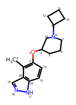 Cc1c(OC2CCCN(C3CCC3)C2)ccc2[nH]ncc12